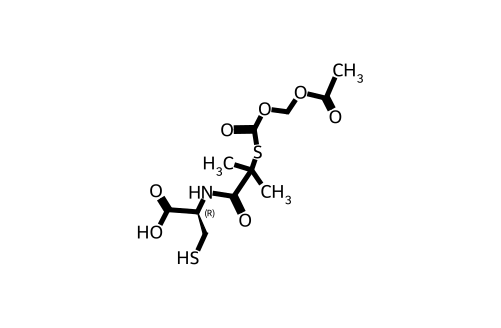 CC(=O)OCOC(=O)SC(C)(C)C(=O)N[C@@H](CS)C(=O)O